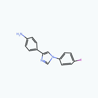 Nc1ccc(-c2cn(-c3ccc(I)cc3)cn2)cc1